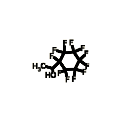 CC(O)C1(F)C(F)(F)C(F)(F)C(F)(F)C(F)(F)C1(F)F